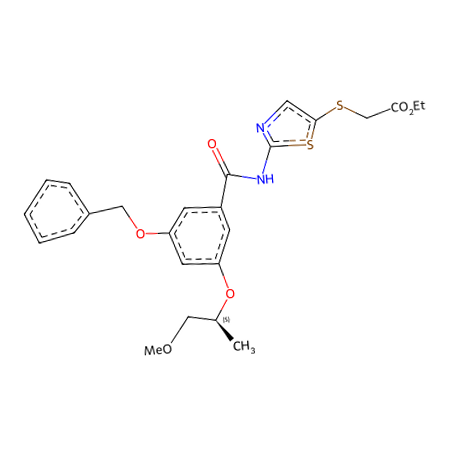 CCOC(=O)CSc1cnc(NC(=O)c2cc(OCc3ccccc3)cc(O[C@@H](C)COC)c2)s1